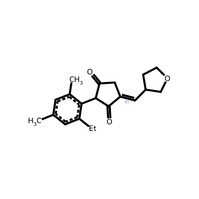 CCc1cc(C)cc(C)c1C1C(=O)C/C(=C\C2CCOC2)C1=O